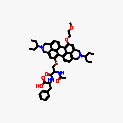 CCC(CC)N1Cc2ccc3c4c(SCC(NC(C)=O)C(=O)NC(Cc5ccccc5)C(=O)O)cc5c6c(ccc(c7c(OCCOC)cc(c2c37)C1)c64)CN(C(CC)CC)C5